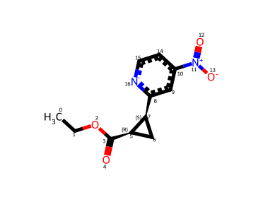 CCOC(=O)[C@@H]1C[C@@H]1c1cc([N+](=O)[O-])ccn1